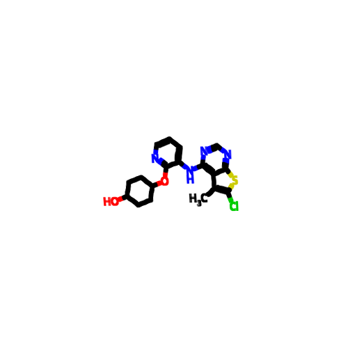 Cc1c(Cl)sc2ncnc(Nc3cccnc3OC3CCC(O)CC3)c12